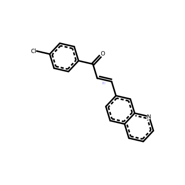 O=C(/C=C/c1ccc2cccnc2c1)c1ccc(Cl)cc1